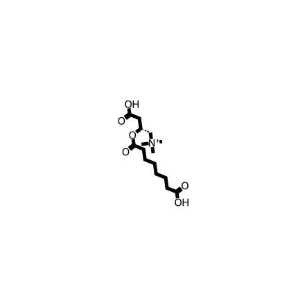 C[N+](C)(C)C[C@@H](CC(=O)O)OC(=O)CCCCCCC(=O)O